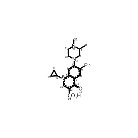 CC1CN(c2cc3c(cc2F)c(=O)c(C(=O)O)cn3C2CC2)CCN1C